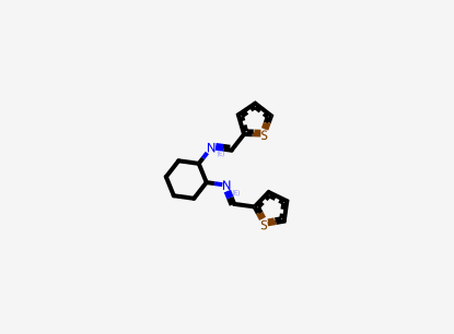 C(=N\C1CCCCC1/N=C/c1cccs1)/c1cccs1